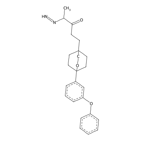 CC(N=N)C(=O)CCC12CCC(c3cccc(Oc4ccccc4)c3)(CC1)OC2